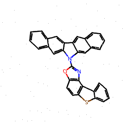 c1ccc2cc3c(cc2c1)c1cc2ccccc2cc1n3-c1nc2c(ccc3sc4ccccc4c32)o1